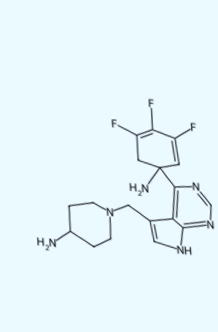 NC1CCN(Cc2c[nH]c3ncnc(C4(N)C=C(F)C(F)=C(F)C4)c23)CC1